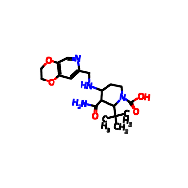 CC(C)(C)C1C(C(N)=O)C(NCc2cc3c(cn2)OCCO3)CCN1C(=O)O